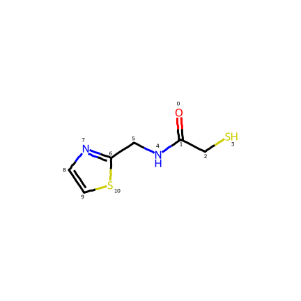 O=C(CS)NCc1nccs1